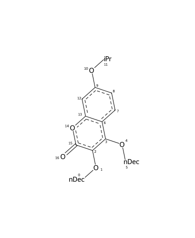 CCCCCCCCCCOc1c(OCCCCCCCCCC)c2ccc(OC(C)C)cc2oc1=O